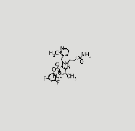 Cc1ncccc1Cn1c(CCOC(N)=O)nc(C(C)C)c1S(=O)(=O)Oc1cc(F)cc(F)c1